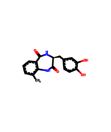 Cc1cccc2c1NC(=O)[C@H](Cc1ccc(O)c(O)c1)NC2=O